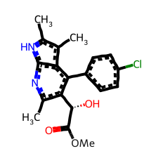 COC(=O)[C@@H](O)c1c(C)nc2[nH]c(C)c(C)c2c1-c1ccc(Cl)cc1